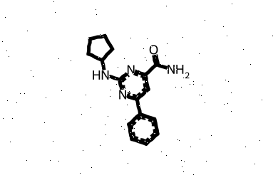 NC(=O)c1cc(-c2ccccc2)nc(NC2CCCC2)n1